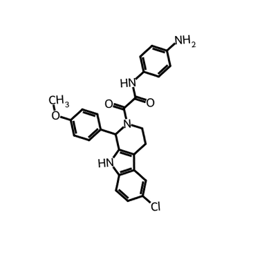 COc1ccc(C2c3[nH]c4ccc(Cl)cc4c3CCN2C(=O)C(=O)Nc2ccc(N)cc2)cc1